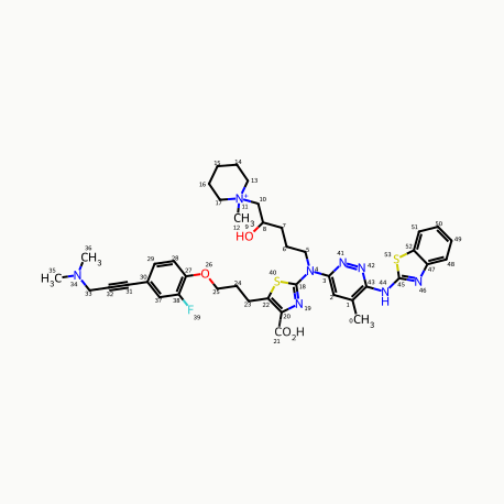 Cc1cc(N(CCCC(O)C[N+]2(C)CCCCC2)c2nc(C(=O)O)c(CCCOc3ccc(C#CCN(C)C)cc3F)s2)nnc1Nc1nc2ccccc2s1